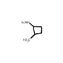 CC(=O)NC1CCC1C(=O)O